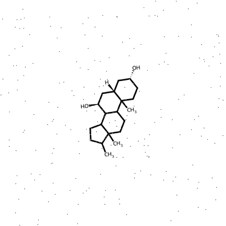 CC1CCC2C3C(CCC12C)C1(C)CC[C@@H](O)C[C@H]1C[C@@H]3O